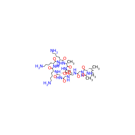 CNC(=O)[C@H](C)NC(=O)[C@H](CCCCN)NC(=O)[C@H](CCCCN)NC(=O)[C@H](CCCCN)NC(=O)[C@H](CO)NC(=O)CNC(=O)CNC(=O)CNC(=O)[C@H](CC(C)C)NC(C)=O